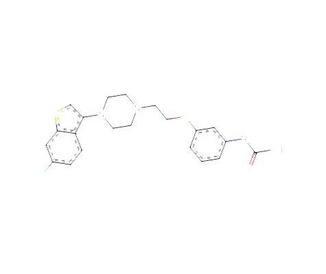 CC(=O)Nc1cccc(OCCN2CCN(c3csc4cc(F)ccc34)CC2)c1